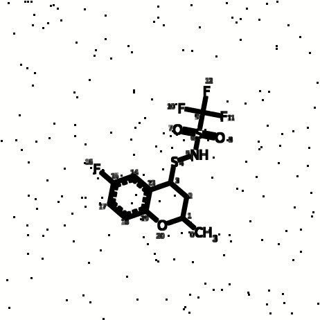 CC1CC(SNS(=O)(=O)C(F)(F)F)c2cc(F)ccc2O1